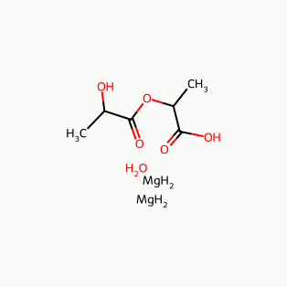 CC(O)C(=O)OC(C)C(=O)O.O.[MgH2].[MgH2]